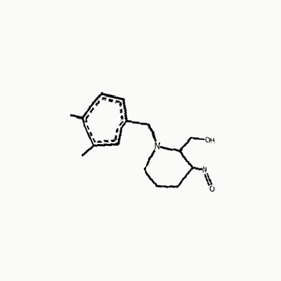 Cc1ccc(CN2CCCC(N=O)C2CO)cc1C